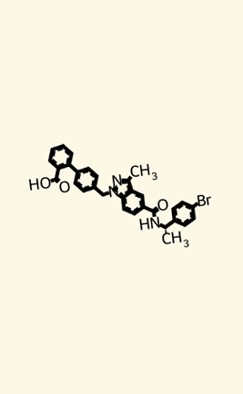 Cc1nn(Cc2ccc(-c3ccccc3C(=O)O)cc2)c2ccc(C(=O)N[C@@H](C)c3ccc(Br)cc3)cc12